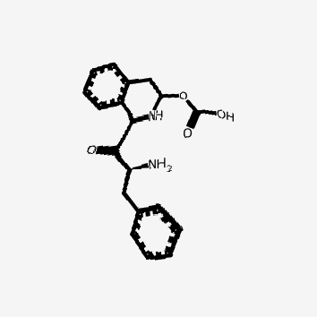 N[C@@H](Cc1ccccc1)C(=O)C1NC(OC(=O)O)Cc2ccccc21